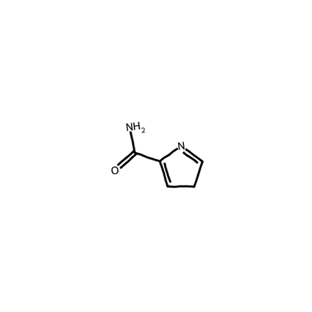 NC(=O)C1=CCC=N1